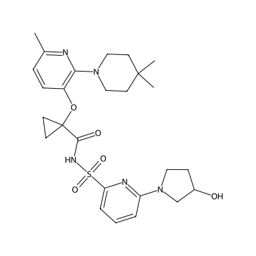 Cc1ccc(OC2(C(=O)NS(=O)(=O)c3cccc(N4CCC(O)C4)n3)CC2)c(N2CCC(C)(C)CC2)n1